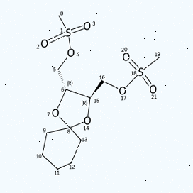 CS(=O)(=O)OC[C@H]1OC2(CCCCC2)O[C@@H]1COS(C)(=O)=O